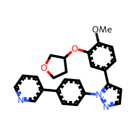 COc1ccc(-c2ccnn2-c2ccc(-c3cccnc3)cc2)cc1OC1CCOC1